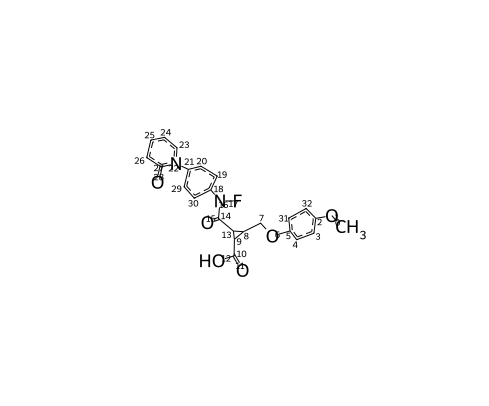 COc1ccc(OCC2C(C(=O)O)C2C(=O)N(F)c2ccc(-n3ccccc3=O)cc2)cc1